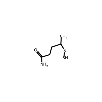 CC(CCC(N)=O)SS